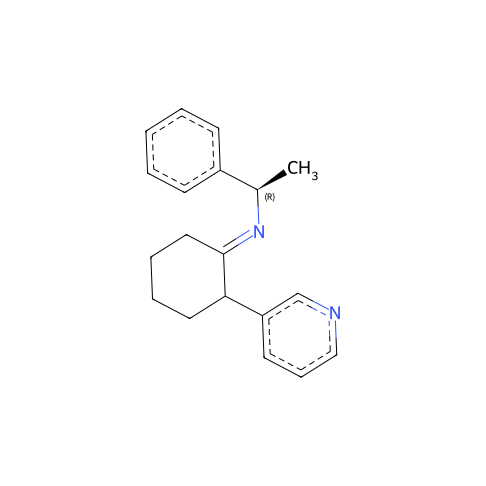 C[C@@H](N=C1CCCCC1c1cccnc1)c1ccccc1